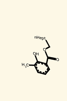 CCCCCCCCOC(=O)c1cccc(C)c1O